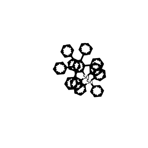 c1ccc(-c2cccc[c]2[Sn]([c]2ccccc2)([c]2c(-c3ccccc3)c(-c3ccccc3)c(-c3ccccc3)c(-c3ccccc3)c2-c2ccccc2)[Sn]([c]2ccccc2)([c]2ccccc2)[c]2ccccc2)cc1